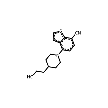 N#Cc1ccc(N2CCC(CCO)CC2)c2ccsc12